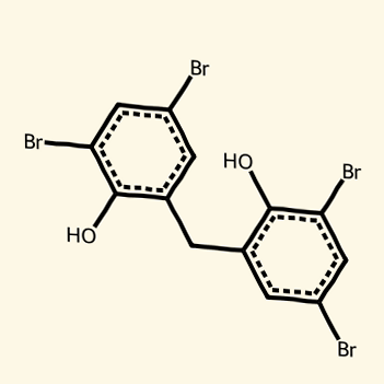 Oc1c(Br)cc(Br)cc1Cc1cc(Br)cc(Br)c1O